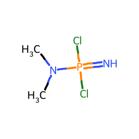 CN(C)P(=N)(Cl)Cl